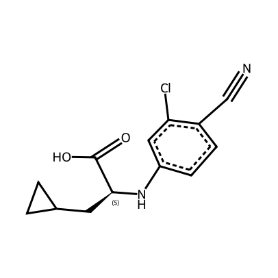 N#Cc1ccc(N[C@@H](CC2CC2)C(=O)O)cc1Cl